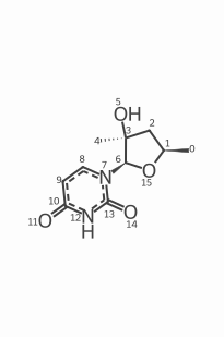 C[C@@H]1C[C@](C)(O)[C@H](n2ccc(=O)[nH]c2=O)O1